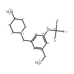 CCc1cc(CN2CCC(N)CC2)cc(OC(F)(F)F)c1